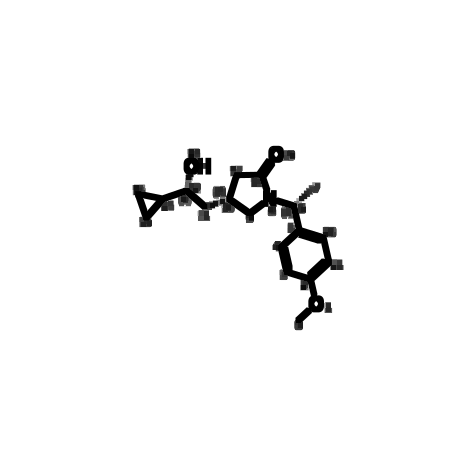 COc1ccc([C@@H](C)N2C[C@H](C[C@@H](O)C3CC3)CC2=O)cc1